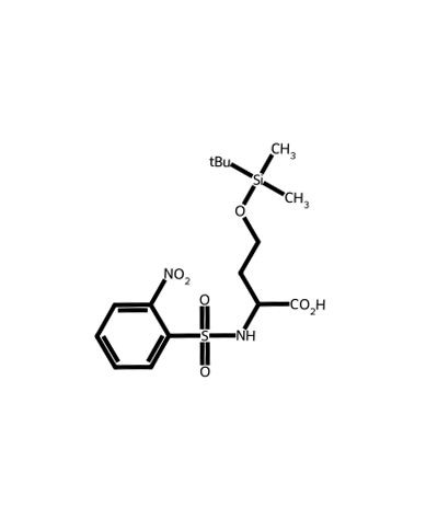 CC(C)(C)[Si](C)(C)OCCC(NS(=O)(=O)c1ccccc1[N+](=O)[O-])C(=O)O